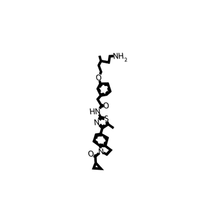 Cc1sc(NC(=O)Cc2cccc(OCCC(C)CCN)c2)nc1-c1ccc2c(c1)CCN2C(=O)C1CC1